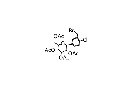 CC(=O)OC[C@H]1O[C@@H](c2ccc(Cl)c(CBr)c2)[C@H](OC(C)=O)C(OC(C)=O)[C@@H]1OC(C)=O